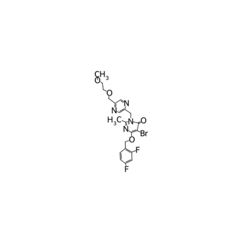 COCCOCc1cnc(Cn2c(C)nc(OCc3ccc(F)cc3F)c(Br)c2=O)cn1